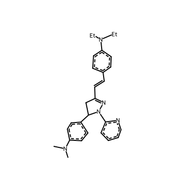 CCN(CC)c1ccc(C=CC2=NN(c3ccccn3)C(c3ccc(N(C)C)cc3)C2)cc1